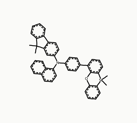 CC1(C)c2ccccc2-c2ccc(N(c3ccc(-c4cccc5c4Oc4ccccc4[Si]5(C)C)cc3)c3cccc4ccccc34)cc21